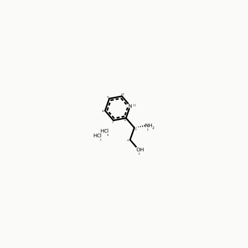 Cl.Cl.N[C@H](CO)c1ccccn1